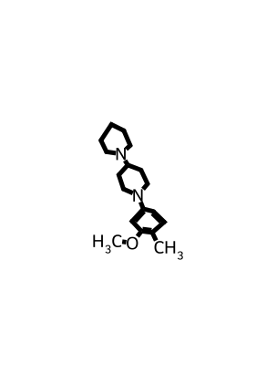 COc1cc(N2CCC(N3CCCCC3)CC2)ccc1C